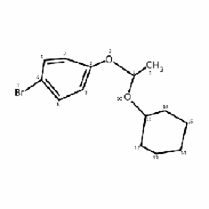 CC(Oc1ccc(Br)cc1)OC1CCCCC1